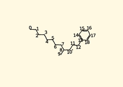 CCCCCCCCC(C)[CH]CCc1ccccc1